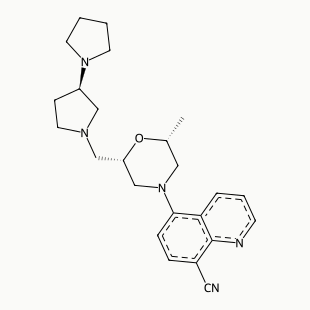 C[C@@H]1CN(c2ccc(C#N)c3ncccc23)C[C@H](CN2CC[C@@H](N3CCCC3)C2)O1